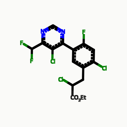 CCOC(=O)C(Cl)Cc1cc(-c2ncnc(C(F)F)c2Cl)c(F)cc1Cl